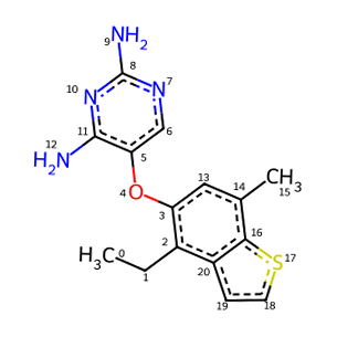 CCc1c(Oc2cnc(N)nc2N)cc(C)c2sccc12